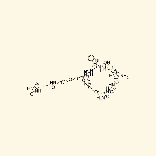 CC(C)C1NC(=O)C(CC(N)=O)NC(=O)C(C(C)C)NC(=O)C(CO)NC(=O)C(Cc2c[nH]c3ccccc23)NC(=O)C(NC(=O)COCCOCCOCCNC(=O)CCCC[C@H]2SCC3NC(=O)NC32)Cc2cn(nn2)CCCCC(C(N)=O)NC1=O